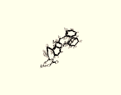 COC(=O)N1c2ccc3c(nc(Cc4ccccc4)n3C3CC4CCC3N4)c2CC[C@@H]1C